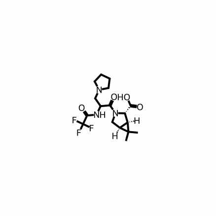 CC1(C)[C@@H]2[C@@H](C(=O)O)N(C(=O)C(CN3CCCC3)NC(=O)C(F)(F)F)C[C@@H]21